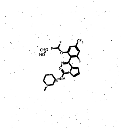 CN1CCC[C@@H](Nc2nnc(-c3c(F)cc(C(F)(F)F)cc3OC(F)F)c3cccn23)C1.O=CO